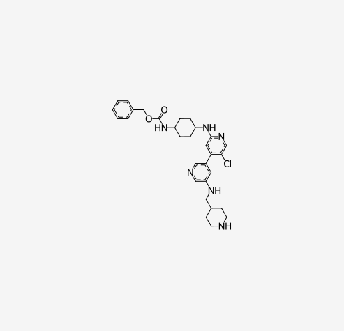 O=C(NC1CCC(Nc2cc(-c3cncc(NCC4CCNCC4)c3)c(Cl)cn2)CC1)OCc1ccccc1